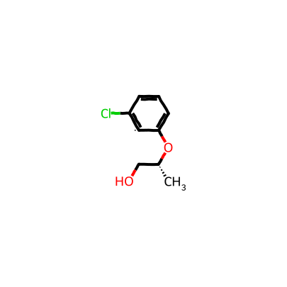 C[C@H](CO)Oc1[c]c(Cl)ccc1